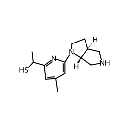 Cc1cc(C(C)S)nc(N2CC[C@H]3CNC[C@@H]32)c1